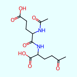 CC(=O)CCC(NC(=O)C(CCC(=O)O)NC(C)=O)C(=O)O